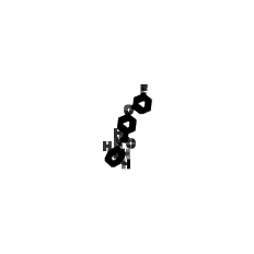 O=C(N[C@@H]1C[C@H]2CC[C@@H]1N2)c1ccc(Oc2cccc(F)c2)cc1